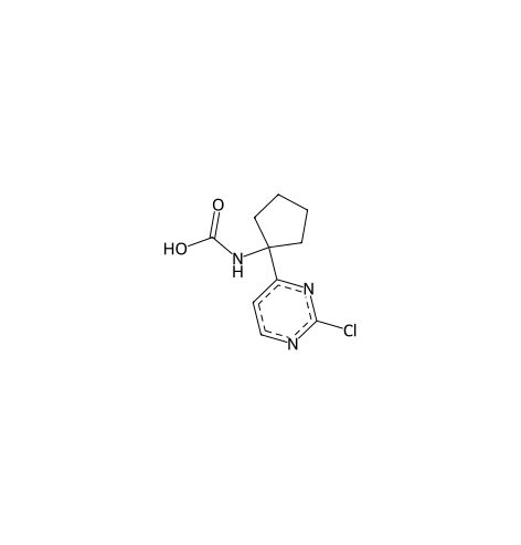 O=C(O)NC1(c2ccnc(Cl)n2)CCCC1